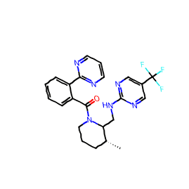 C[C@@H]1CCCN(C(=O)c2ccccc2-c2ncccn2)C1CNc1ncc(C(F)(F)F)cn1